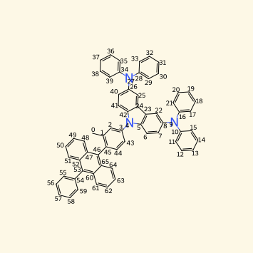 Cc1cc(-n2c3ccc(N(c4ccccc4)c4ccccc4)cc3c3cc(N(c4ccccc4)c4ccccc4)ccc32)ccc1-c1c2ccccc2c(-c2ccccc2)c2ccccc12